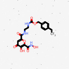 O=C(NCCNC(=O)c1cc(=O)c(O)c(C(=O)NO)o1)OCc1ccc(CC(F)(F)F)cc1